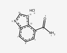 Cl.NC(=O)c1cccc2ncsc12